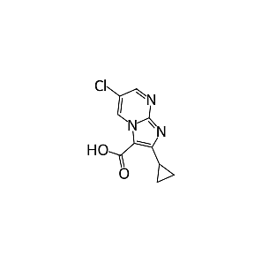 O=C(O)c1c(C2CC2)nc2ncc(Cl)cn12